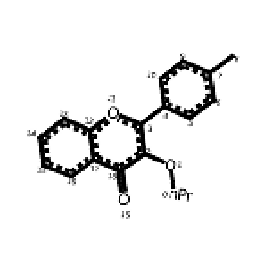 CCCOc1c(-c2ccc(C)cc2)oc2ccccc2c1=O